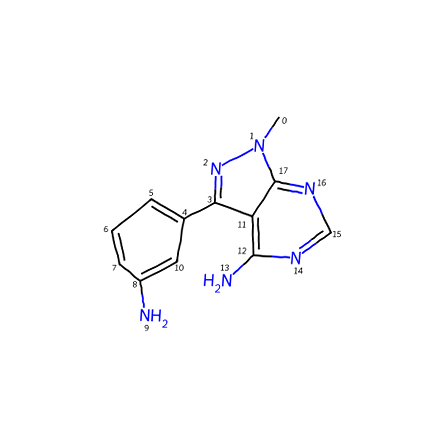 Cn1nc(-c2cccc(N)c2)c2c(N)ncnc21